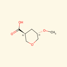 CO[C@@H]1COC[C@@H](C(=O)O)C1